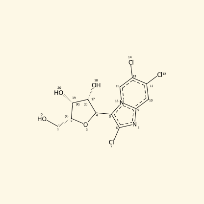 OC[C@H]1OC(c2c(Cl)nc3cc(Cl)c(Cl)cn23)[C@@H](O)[C@H]1O